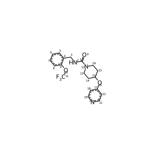 O=C(NCc1ccccc1OC(F)(F)F)N1CCC(Oc2ccncc2)CC1